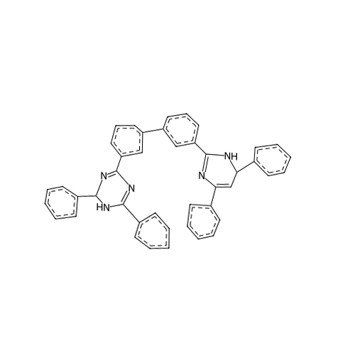 C1=C(c2ccccc2)N=C(c2cccc(-c3cccc(C4=NC(c5ccccc5)NC(c5ccccc5)=N4)c3)c2)NC1c1ccccc1